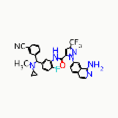 CN(C1CC1)C(c1cccc(C#N)c1)c1ccc(F)c(NC(=O)c2cc(C(F)(F)F)nn2-c2ccc3ccnc(N)c3c2)c1